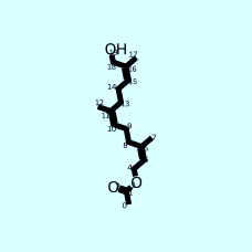 CC(=O)OCC=C(C)CCC=C(C)CCC=C(C)CO